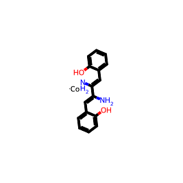 NC(=Cc1ccccc1O)C(N)=Cc1ccccc1O.[Co]